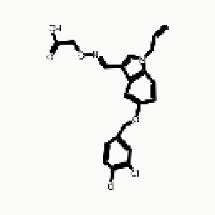 C=CCn1cc(C=NOCC(=O)O)c2cc(OCc3ccc(Cl)c(Cl)c3)ccc21